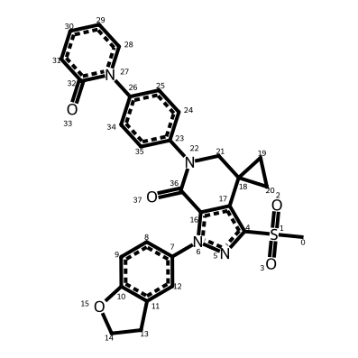 CS(=O)(=O)c1nn(-c2ccc3c(c2)CCO3)c2c1C1(CC1)CN(c1ccc(-n3ccccc3=O)cc1)C2=O